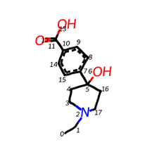 CCN1CCC(O)(c2ccc(C(=O)O)cc2)CC1